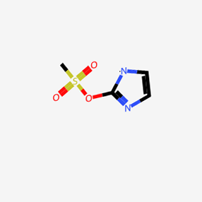 CS(=O)(=O)OC1=NC=C[N]1